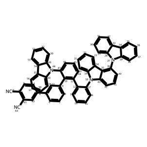 N#Cc1ccc(-c2cccc(-c3c(-c4ccccc4-n4c5ccccc5c5c(-n6c7ccccc7c7ccccc76)cccc54)cccc3-n3c4ccccc4c4ccccc43)c2)cc1C#N